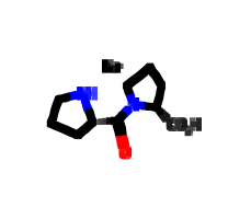 O=C(O)[C@@H]1CCCN1C(=O)[C@@H]1CCCN1.[Na]